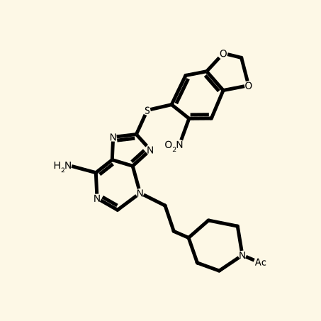 CC(=O)N1CCC(CCn2cnc(N)c3nc(Sc4cc5c(cc4[N+](=O)[O-])OCO5)nc2-3)CC1